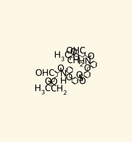 C=C(C)C(=O)OCC/C(=C\C=O)C(=O)Nc1ccccc1Oc1cccc(S(=O)(=O)c2cccc(Oc3ccccc3NC(=O)/C(=C/C=O)CCOC(=O)C(=C)C)c2)c1